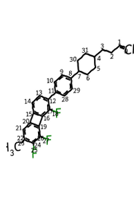 C=CCCC1CCC(c2ccc(-c3ccc4c(c3F)-c3c-4cc(C)c(F)c3F)cc2)CC1